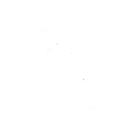 O=C(O)c1cccc(SSc2cccc(C(=O)O)c2[N+](=O)[O-])c1[N+](=O)[O-]